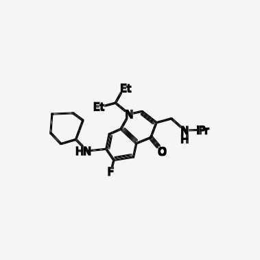 [CH2]C(C)NCc1cn(C(CC)CC)c2cc(NC3CCCCC3)c(F)cc2c1=O